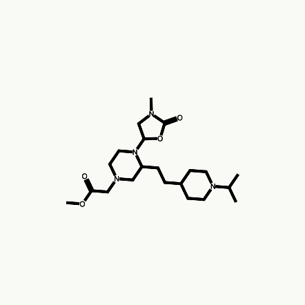 COC(=O)CN1CCN(C2CN(C)C(=O)O2)C(CCC2CCN(C(C)C)CC2)C1